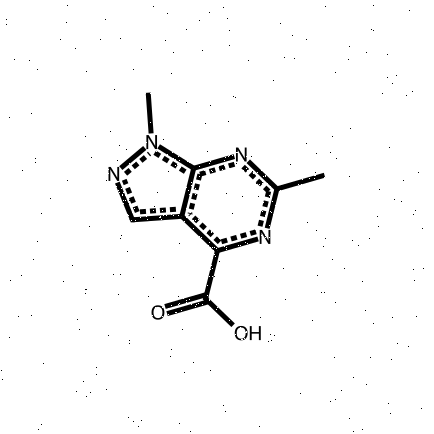 Cc1nc(C(=O)O)c2cnn(C)c2n1